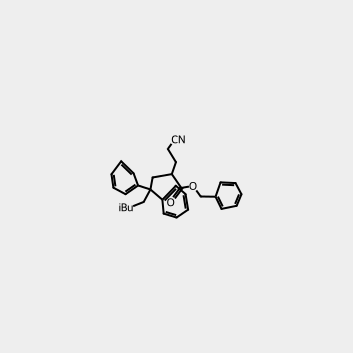 CCC(C)CC(CC(CCC#N)C(=O)OCc1ccccc1)(c1ccccc1)c1ccccc1